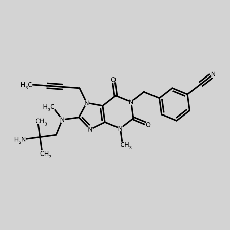 CC#CCn1c(N(C)CC(C)(C)N)nc2c1c(=O)n(Cc1cccc(C#N)c1)c(=O)n2C